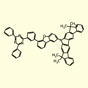 CC1(C)c2ccccc2-c2cc3c4cc5c(cc4n(-c4ccc6oc7c(-c8cccc(-c9nc(-c%10ccccc%10)nc(-c%10ccccc%10)n9)c8)cccc7c6c4)c3cc21)C(C)(C)c1ccccc1-5